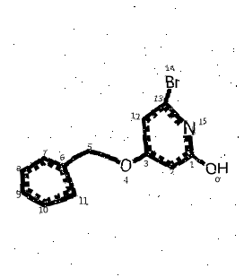 Oc1cc(OCc2ccccc2)cc(Br)n1